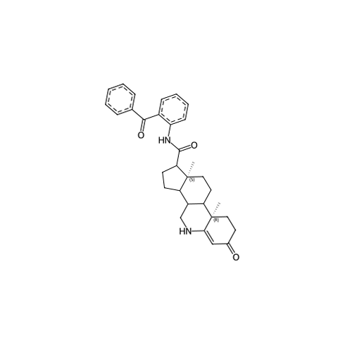 C[C@]12CCC3C(CNC4=CC(=O)CC[C@@]43C)C1CCC2C(=O)Nc1ccccc1C(=O)c1ccccc1